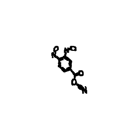 N#COC(=O)c1ccc(N=O)c(N=O)c1